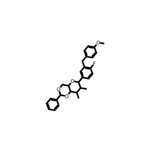 COc1ccc(Cc2cc(C3OC4COC(c5ccccc5)OC4C(C)C3C)ccc2F)cc1